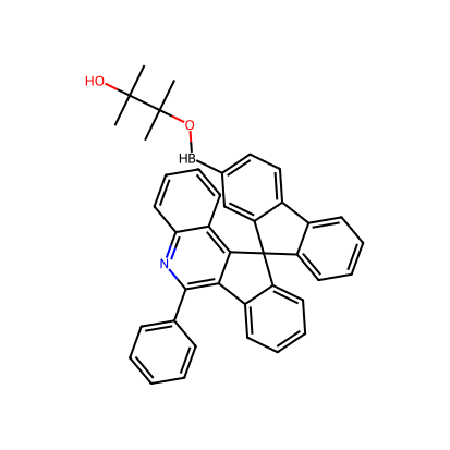 CC(C)(O)C(C)(C)OBc1ccc2c(c1)C1(c3ccccc3-2)c2ccccc2-c2c(-c3ccccc3)nc3ccccc3c21